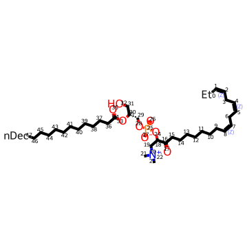 CC/C=C\C/C=C\C/C=C\CCCCCCCC(=O)C(C[N+](C)(C)C)OP(=O)([O-])OC[C@@H](CO)OC(=O)CCCCCCCCCCCCCCCCCCCCC